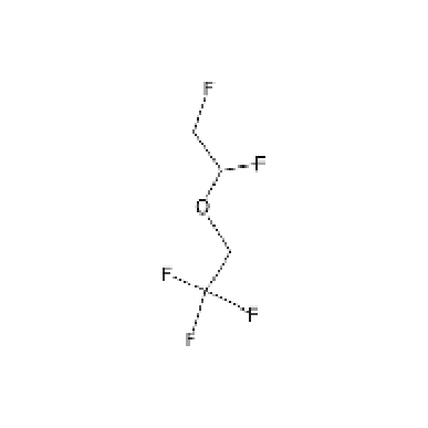 FCC(F)OCC(F)(F)F